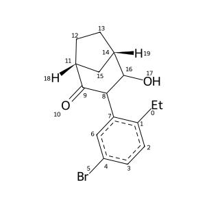 CCc1ccc(Br)cc1C1C(=O)[C@@H]2CC[C@@H](C2)C1O